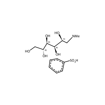 CNC[C@H](O)[C@@H](O)[C@H](O)[C@H](O)CO.O=S(=O)(O)c1ccccc1